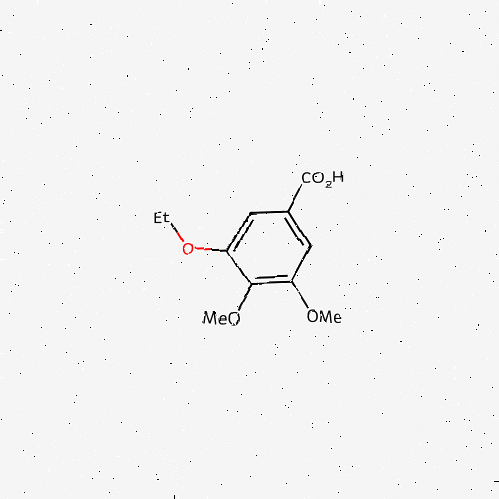 CCOc1cc(C(=O)O)cc(OC)c1OC